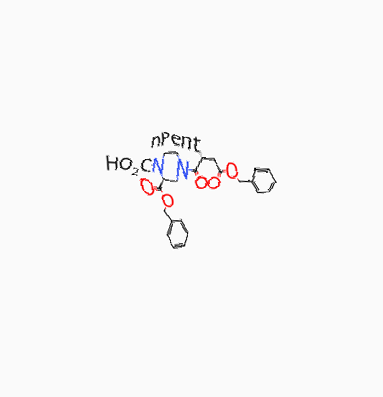 CCCCC[C@H](CC(=O)OCc1ccccc1)C(=O)N1CCN(C(=O)O)[C@H](C(=O)OCc2ccccc2)C1